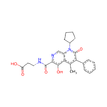 Cc1c(-c2ccccc2)c(=O)n(C2CCCC2)c2cnc(C(=O)NCCC(=O)O)c(O)c12